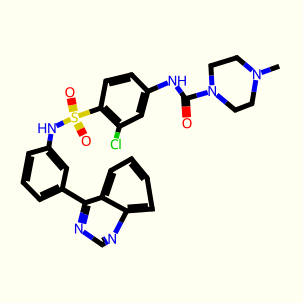 CN1CCN(C(=O)Nc2ccc(S(=O)(=O)Nc3cccc(-c4ncnc5ccccc45)c3)c(Cl)c2)CC1